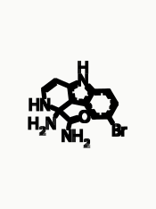 NC(=O)C1(N)NC=Cc2[nH]c3ccc(Br)cc3c21